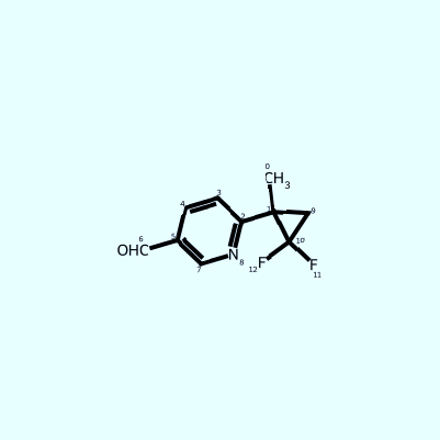 CC1(c2ccc(C=O)cn2)CC1(F)F